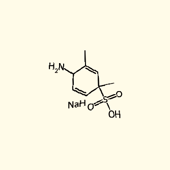 CC1=CC(C)(S(=O)(=O)O)C=CC1N.[NaH]